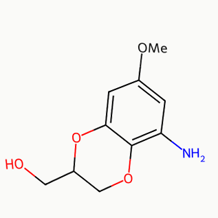 COc1cc(N)c2c(c1)OC(CO)CO2